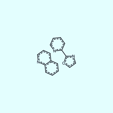 c1ccc(-c2ncco2)nc1.c1ccc2ncccc2c1